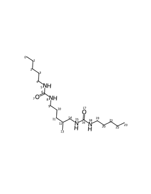 CCCCCNC(=O)NCCCC(C)CNC(=O)NCCCCC